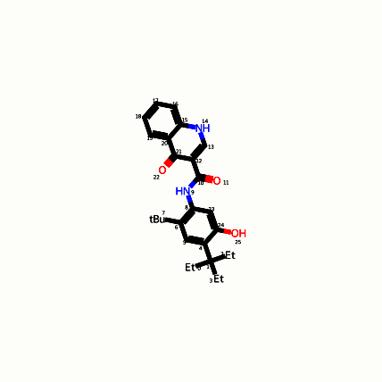 CCC(CC)(CC)c1cc(C(C)(C)C)c(NC(=O)c2c[nH]c3ccccc3c2=O)cc1O